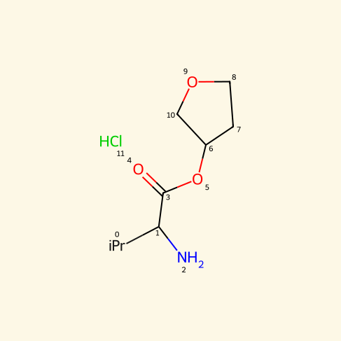 CC(C)C(N)C(=O)OC1CCOC1.Cl